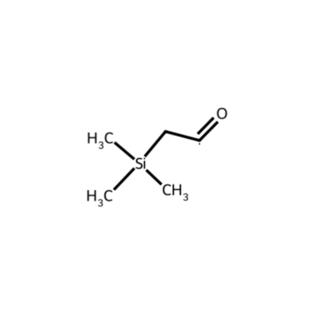 C[Si](C)(C)C[C]=O